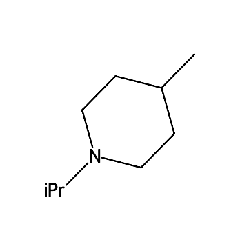 CC1CCN(C(C)C)CC1